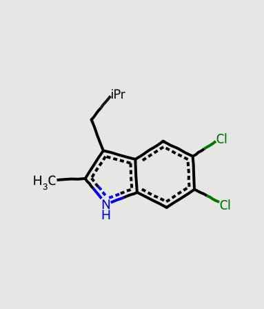 Cc1[nH]c2cc(Cl)c(Cl)cc2c1CC(C)C